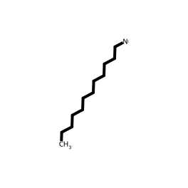 CCCCCCCCCCCC[N]